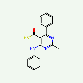 Cc1nc(Nc2ccccc2)c(C(=O)S)c(-c2ccccc2)n1